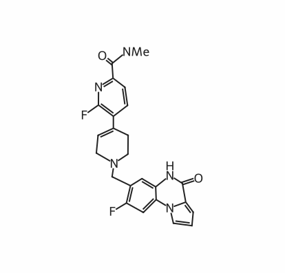 CNC(=O)c1ccc(C2=CCN(Cc3cc4[nH]c(=O)c5cccn5c4cc3F)CC2)c(F)n1